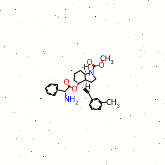 COC(=O)N1CC[C@@H]2[C@H]1CCC[C@]2(C#Cc1cccc(C)c1)OC(=O)[C@@H](N)c1ccccc1